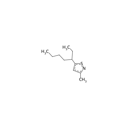 CCCCC(CC)c1cc(C)ns1